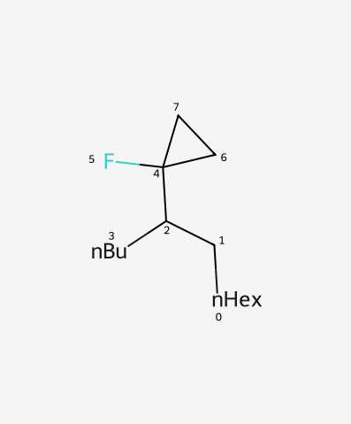 CCCCCCCC(CCCC)C1(F)CC1